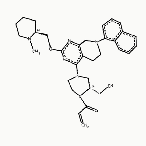 C=CC(=O)N1CCN(c2nc(OC[C@@H]3CCCCN3C)nc3c2CCN(c2cccc4ccccc24)C3)C[C@@H]1CC#N